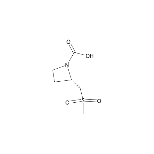 CS(=O)(=O)C[C@@H]1CCN1C(=O)O